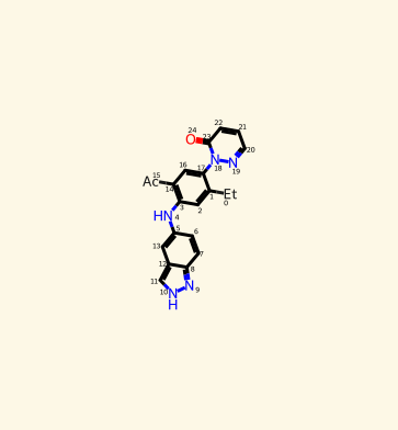 CCc1cc(Nc2ccc3n[nH]cc3c2)c(C(C)=O)cc1-n1ncccc1=O